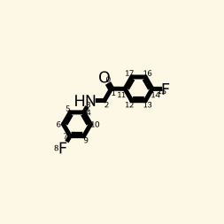 O=C(CNc1ccc(F)cc1)c1ccc(F)cc1